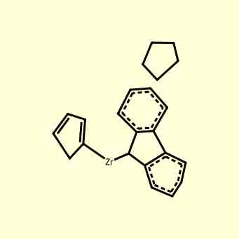 C1=CC[C]([Zr][CH]2c3ccccc3-c3ccccc32)=C1.C1CCCC1